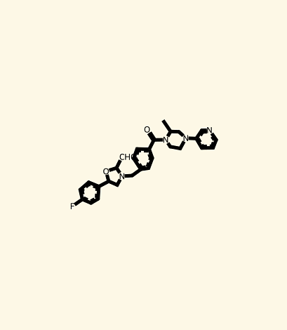 CC1CN(c2cccnc2)CCN1C(=O)c1ccc(CN2CC(c3ccc(F)cc3)OC2C=O)cc1